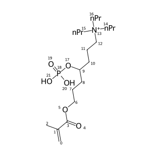 C=C(C)C(=O)OCCCC(CCC[N+](CCC)(CCC)CCC)OP(=O)(O)O